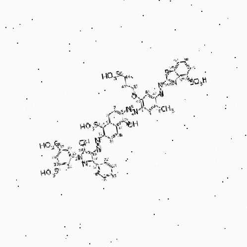 Cc1cc(N=Nc2ccc3c(S(=O)(=O)O)c(N=Nc4c(-c5ccccc5)nn(-c5cc(C(=O)O)cc(S(=O)(=O)O)c5)c4O)ccc3c2O)c(OCCCS(=O)(=O)O)cc1N=Nc1nc2c(S(=O)(=O)O)cccc2s1